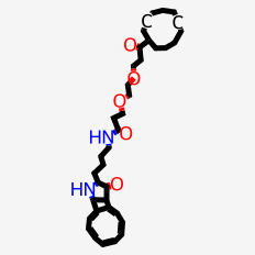 O=C(CCOCCOCCC(=O)C1CCCCCCCCCC1)NCCCCC1NC2c3ccccccccc3C2C1=O